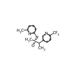 Cc1cccc(N=S(C)(=O)C(C)c2ccc(C(F)(F)F)nc2)n1